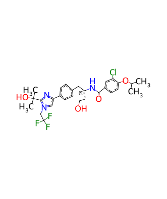 CC(C)Oc1ccc(C(=O)N[C@H](CCO)Cc2ccc(-c3cn(CC(F)(F)F)c(C(C)(C)O)n3)cc2)cc1Cl